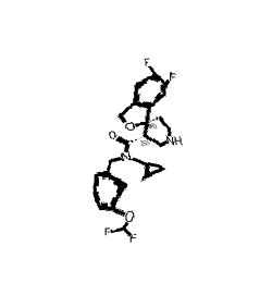 O=C([C@H]1CNCC[C@@]12OCc1cc(F)c(F)cc12)N(Cc1cccc(OC(F)F)c1)C1CC1